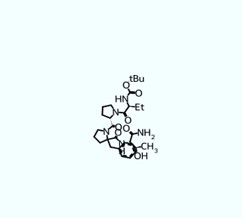 CC[C@H](NC(=O)OC(C)(C)C)C(=O)N1CCC[C@H]1C(=O)N1CCCC1(Cc1ccccc1)C(=O)N[C@H](C(N)=O)[C@@H](C)O